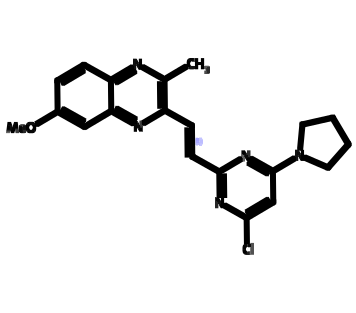 COc1ccc2nc(C)c(/C=C/c3nc(Cl)cc(N4CCCC4)n3)nc2c1